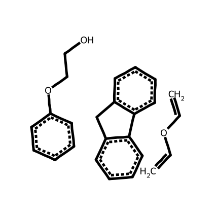 C=COC=C.OCCOc1ccccc1.c1ccc2c(c1)Cc1ccccc1-2